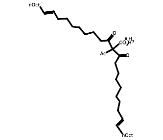 CCCCCCCCC=CCCCCCCCC(=O)C(C(C)=O)(C(=O)O)C(=O)CCCCCCCC=CCCCCCCCC.[AlH3]